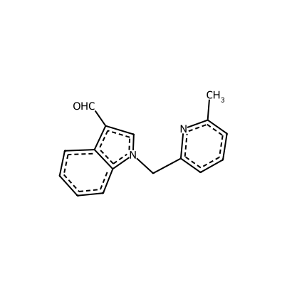 Cc1cccc(Cn2cc(C=O)c3ccccc32)n1